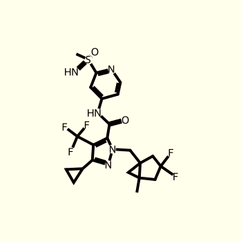 CC12CC(F)(F)CC1(Cn1nc(C3CC3)c(C(F)(F)F)c1C(=O)Nc1ccnc(S(C)(=N)=O)c1)C2